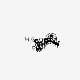 CCC(=O)N[C@@H](C(=O)N1CC2(C1)CC(F)(F)C2)[C@@H](C)c1ccc(NC(=O)[C@@H](NC(=O)c2ccnn2CC)[C@H]2CC[C@H](C)CC2)c(F)c1